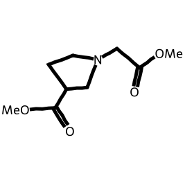 COC(=O)CN1CCC(C(=O)OC)C1